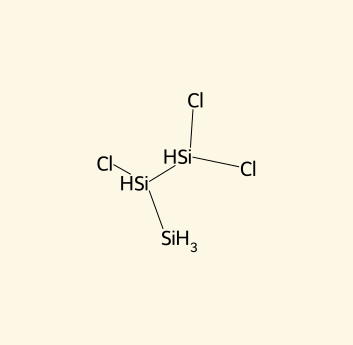 [SiH3][SiH](Cl)[SiH](Cl)Cl